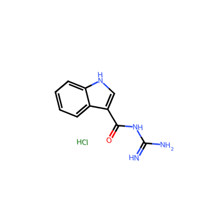 Cl.N=C(N)NC(=O)c1c[nH]c2ccccc12